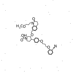 COCCCN1C(=O)CCc2ccc(COC3CN(C(=O)O)CCC3c3ccc(OCCCOc4ccccc4C#N)cc3)cc21